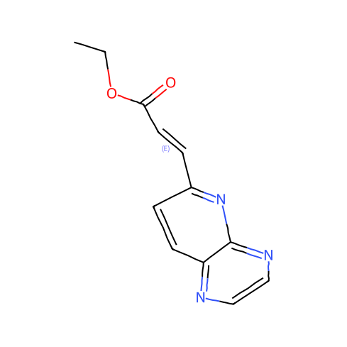 CCOC(=O)/C=C/c1ccc2nccnc2n1